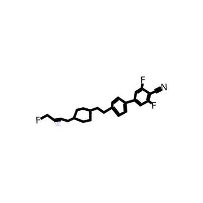 N#Cc1c(F)cc(-c2ccc(CCC3CCC(C/C=C/CF)CC3)cc2)cc1F